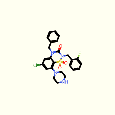 O=C1N(Cc2ccccc2)c2cc(Cl)cc(N3CCNCC3)c2S(=O)(=O)N1Cc1ccccc1F